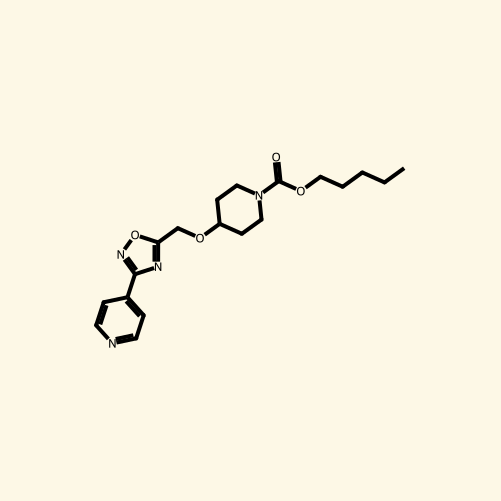 CCCCCOC(=O)N1CCC(OCc2nc(-c3ccncc3)no2)CC1